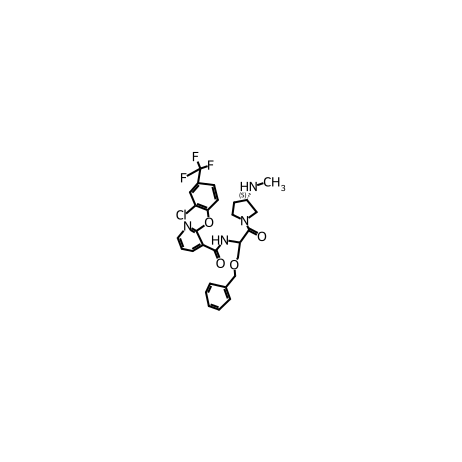 CN[C@H]1CCN(C(=O)C(COCc2ccccc2)NC(=O)c2cccnc2Oc2ccc(C(F)(F)F)cc2Cl)C1